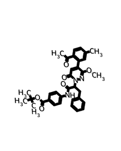 COc1nn(C(Cc2ccccc2)C(=O)Nc2ccc(C(=O)OC(C)(C)C)cc2)c(=O)cc1-c1cc(C)ccc1C(C)=O